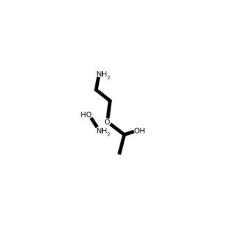 CC(O)OCCN.NO